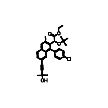 CCOC(=O)C(OC(C)(C)C)c1c(C)cc2ccc(C#CC(C)(C)O)cc2c1-c1ccc(Cl)cc1